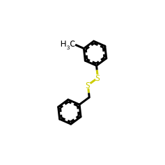 Cc1cccc(SSCc2ccccc2)c1